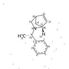 C[C@@H](c1ccccc1)N1CC2C=C[C@H]1C2